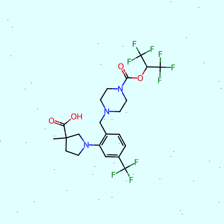 CC1(C(=O)O)CCN(c2cc(C(F)(F)F)ccc2CN2CCN(C(=O)OC(C(F)(F)F)C(F)(F)F)CC2)C1